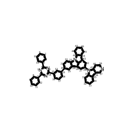 c1ccc(-c2nc(-c3ccccc3)nc(-c3cccc(-c4ccc5c(c4)c4cc(-n6c7ccccc7c7cnccc76)cc6c7ccccc7n5c64)c3)n2)cc1